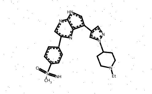 CCN1CCC(n2cc(-c3c[nH]c4ncc(-c5ccc([S@@](C)(=N)=O)cc5)nc34)cn2)CC1